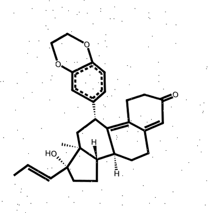 CC=C[C@]1(O)CC[C@H]2[C@@H]3CCC4=CC(=O)CCC4=C3[C@@H](c3ccc4c(c3)OCCO4)C[C@@]21C